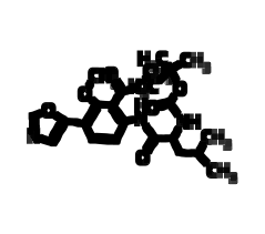 COC(=O)c1c(NC(=O)C(CC(C)C)NC(=O)OC(C)(C)C)ccc(-c2cnco2)c1OC